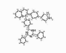 C/C=C(\C=C/N)c1ccc(-c2ccc3ccccc3c2-c2ccc(C3N=C(c4ccccc4)N=C(c4ccccc4)N3)cc2)cc1